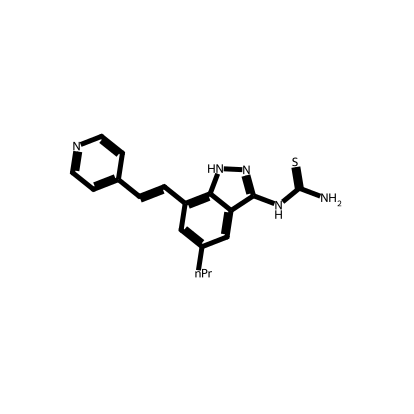 CCCc1cc(C=Cc2ccncc2)c2[nH]nc(NC(N)=S)c2c1